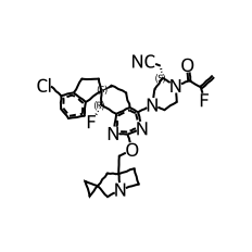 C=C(F)C(=O)N1CCN(c2nc(OCC34CCN3CC3(CC3)C4)nc3c2CC[C@@]2(CCc4c(Cl)cccc42)[C@H]3F)C[C@@H]1CC#N